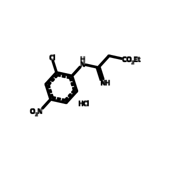 CCOC(=O)CC(=N)Nc1ccc([N+](=O)[O-])cc1Cl.Cl